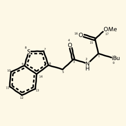 CCC(C)C(NC(=O)Cc1csc2ccccc12)C(=O)OC